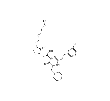 CCOCCOCCN1CCC(C[C@@H](C=O)NC(=O)[C@H](CC2CCCCC2)NC(=O)OCc2cccc(Cl)c2)C1=O